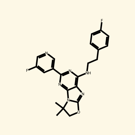 CC1(C)COc2nc3c(NCCc4ccc(F)cc4)nc(-c4cncc(F)c4)nc3n21